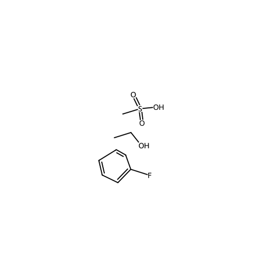 CCO.CS(=O)(=O)O.Fc1ccccc1